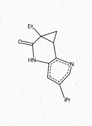 CCC12CC1c1ncc(C(C)C)cc1NC2=O